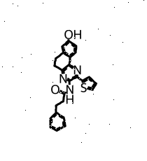 O=C(CCc1ccccc1)Nc1nc2c(nc1-c1cccs1)-c1ccc(O)cc1CC2